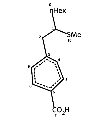 CCCCCCC(Cc1ccc(C(=O)O)cc1)SC